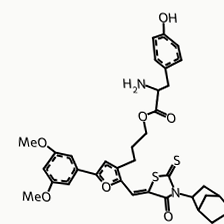 COc1cc(OC)cc(-c2cc(CCCOC(=O)C(N)Cc3ccc(O)cc3)c(C=C3SC(=S)N(C4CC5CCC4C5)C3=O)o2)c1